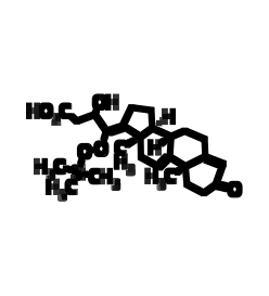 C[C@]12CCC(=O)C=C1CC[C@@H]1C2=CC[C@]2(C)C(=C(OO[Si](C)(C)C)C(O)CC(=O)O)CC[C@@H]12